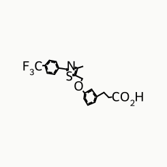 Cc1nc(-c2ccc(C(F)(F)F)cc2)sc1COc1cccc(CCC(=O)O)c1